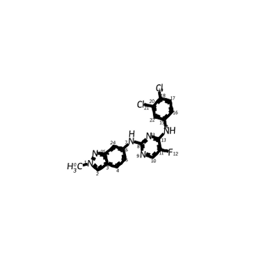 Cn1cc2ccc(Nc3ncc(F)c(Nc4ccc(Cl)c(Cl)c4)n3)cc2n1